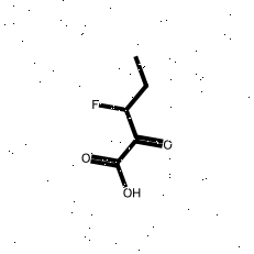 CCC(F)C(=O)C(=O)O